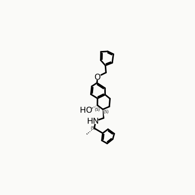 C[C@H](NC[C@@H]1CCc2cc(OCc3ccccc3)ccc2[C@H]1O)c1ccccc1